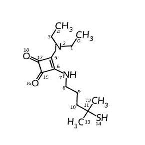 CCN(CC)c1c(NCCCC(C)(C)S)c(=O)c1=O